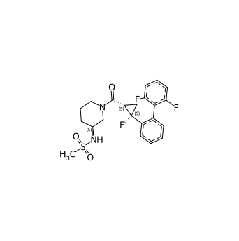 CS(=O)(=O)N[C@H]1CCCN(C(=O)[C@@H]2C[C@@]2(F)c2ccccc2-c2c(F)cccc2F)C1